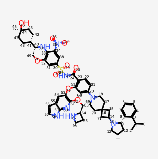 CC(C)c1ccccc1[C@@H]1CCCN1C1CC2(CCN(c3ccc(C(=O)NS(=O)(=O)c4cc5c(c([N+](=O)[O-])c4)N[C@@H]([C@H]4CC[C@](C)(O)CC4)CO5)c(Oc4cc5cc[nH]c5nc4OC[C@H]4CCN4)c3)CC2)C1